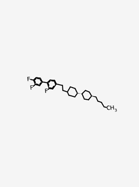 CCCCC[C@H]1CC[C@H](C2CCC(CCc3ccc(-c4ccc(F)c(F)c4)c(F)c3)CC2)CC1